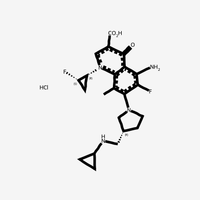 Cc1c(N2CC[C@H](CNC3CC3)C2)c(F)c(N)c2c(=O)c(C(=O)O)cn([C@@H]3C[C@@H]3F)c12.Cl